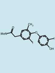 CNC(=O)Cc1cc(C)c(Oc2ccc(O)c(I)c2)c(I)c1